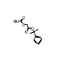 CCC(C)C(=O)OCC(=O)OC(C)(C)c1ccccc1